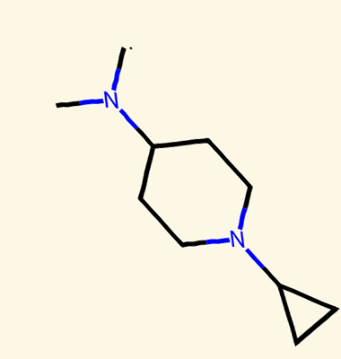 [CH2]N(C)C1CCN(C2CC2)CC1